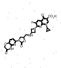 O=C1COc2ccc(N3CC(CNC4CN(c5nc6c(cc5F)c(=O)c(C(=O)O)cn6C5CC5)C4)OC3=O)nc2N1